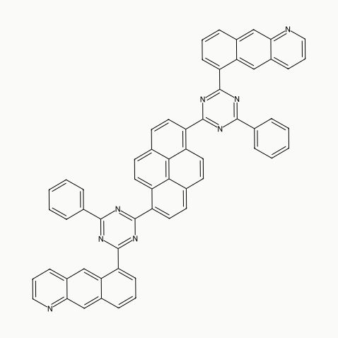 c1ccc(-c2nc(-c3cccc4cc5ncccc5cc34)nc(-c3ccc4ccc5c(-c6nc(-c7ccccc7)nc(-c7cccc8cc9ncccc9cc78)n6)ccc6ccc3c4c65)n2)cc1